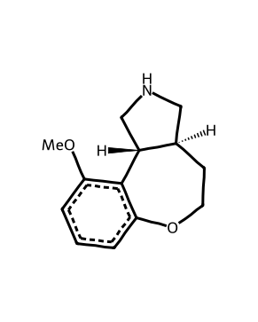 COc1cccc2c1[C@@H]1CNC[C@H]1CCO2